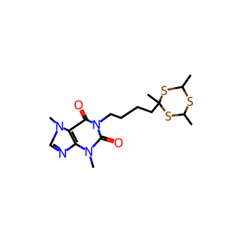 CC1SC(C)SC(C)(CCCCn2c(=O)c3c(ncn3C)n(C)c2=O)S1